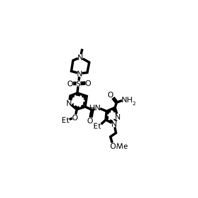 CCOc1ncc(S(=O)(=O)N2CCN(C)CC2)cc1C(=O)Nc1c(C(N)=O)nn(CCOC)c1CC